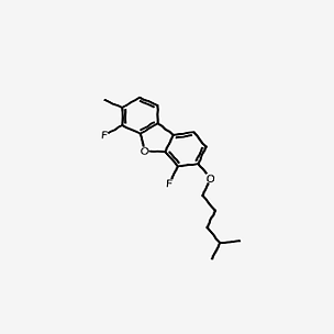 Cc1ccc2c(oc3c(F)c(OCCCC(C)C)ccc32)c1F